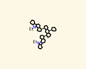 CCn1c2ccccc2c2ccc3c(-c4cccc5c(-c6ccccc6)c6cccc(-c7cccc8c7ccc7c9ccccc9n(CC)c87)c6cc45)cccc3c21